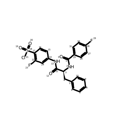 O=C(N[C@@H](Cc1ccccc1)C(=O)Nc1ccc(S(=O)(=O)Cl)c(F)c1)c1ccc(F)cc1